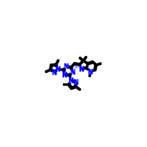 CC1=CN(C)C2=N/C(=C\c3nc(-n4nc(C)cc4C)nc(-n4nc(C)cc4C)n3)C(C)(C)C2=C1